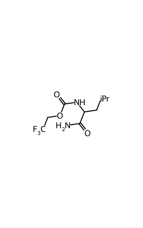 CC(C)CC(NC(=O)OCC(F)(F)F)C(N)=O